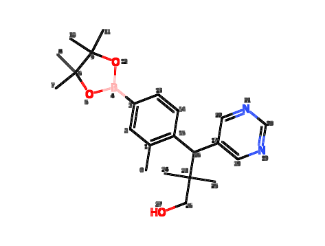 Cc1cc(B2OC(C)(C)C(C)(C)O2)ccc1C(c1cncnc1)C(C)(C)CO